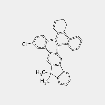 CC1(C)c2ccccc2-c2cc3c(cc21)c1cc(Cl)ccc1c1c2c(c4ccccc4c31)CCC=C2